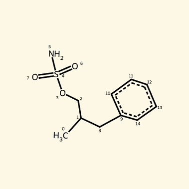 CC(COS(N)(=O)=O)Cc1ccccc1